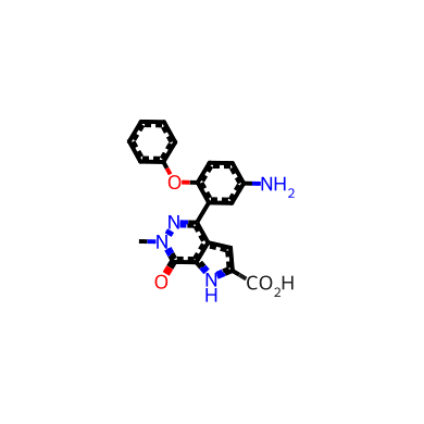 Cn1nc(-c2cc(N)ccc2Oc2ccccc2)c2cc(C(=O)O)[nH]c2c1=O